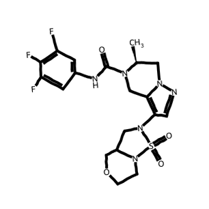 C[C@H]1Cn2ncc(N3CC4COCCN4S3(=O)=O)c2CN1C(=O)Nc1cc(F)c(F)c(F)c1